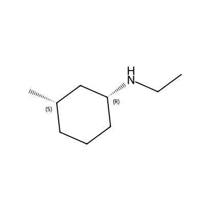 CCN[C@@H]1CCC[C@H](C)C1